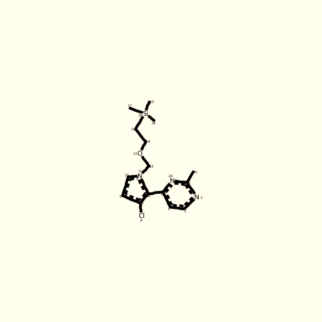 Cc1nccc(-c2c(Cl)ccn2COCC[Si](C)(C)C)n1